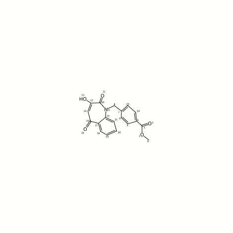 COC(=O)c1ccc(Cn2c(=O)c(O)cc(=O)c3ccccc32)cc1